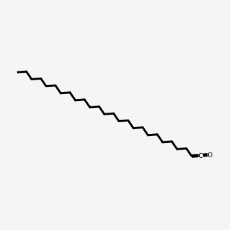 CCCCCCCCCCCCCCCCCCCCCCCCC=C=O